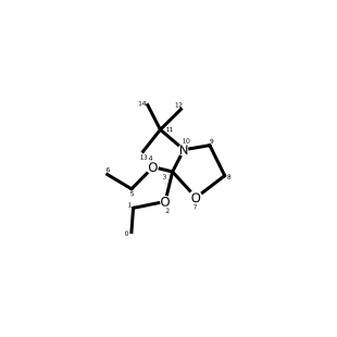 CCOC1(OCC)OCCN1C(C)(C)C